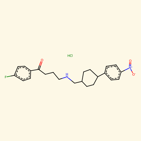 Cl.O=C(CCCNCC1CCC(c2ccc([N+](=O)[O-])cc2)CC1)c1ccc(F)cc1